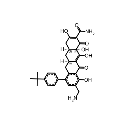 CC(C)(C)c1ccc(-c2cc(CN)c(O)c3c2C[C@H]2C[C@H]4CC(O)=C(C(N)=O)C(=O)[C@@]4(O)C(O)=C2C3=O)cc1